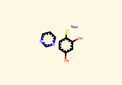 Oc1ccc(S)c(O)c1.[NaH].c1cncnc1